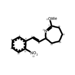 COC1=NC(C=Cc2ccccc2[N+](=O)[O-])CCCC1